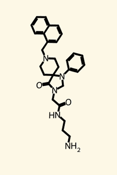 NCCCNC(=O)CN1CN(c2ccccc2)C2(CCN(Cc3cccc4ccccc34)CC2)C1=O